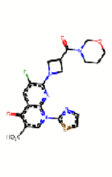 O=C(O)c1cn(-c2nccs2)c2nc(N3CC(C(=O)N4CCCOC4)C3)c(F)cc2c1=O